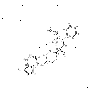 Cc1csc2c(OC3CCN(S(=O)(=O)C[C@@H](C(=O)NO)c4cccnc4)CC3)ncnc12